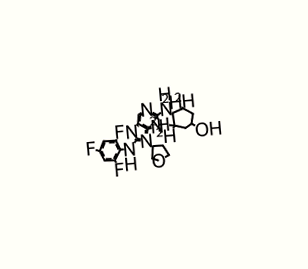 [2H]C1([2H])CC(O)CC([2H])([2H])C1Nc1ncc2nc(Nc3c(F)cc(F)cc3F)n(C3CCOC3)c2n1